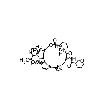 CCn1c(-c2cccnc2[C@H](C)OC)c2c3cc(ccc31)-c1csc(n1)C[C@H](NC(=O)C1CCCOC1)C(=O)N1CCC[C@H](N1)C(=O)OCC(C)(C)C2